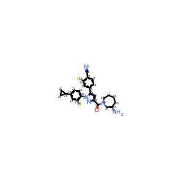 N#Cc1ccc(-c2cc(C(=O)N3CCCCC(N)C3)nn2-c2ccc(C3CC3)cc2F)cc1F